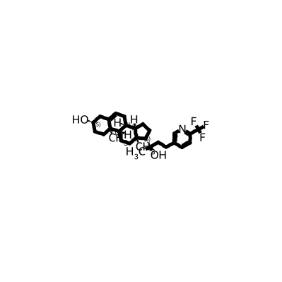 CC(O)(CCc1ccc(C(F)(F)F)nc1)[C@H]1CC[C@H]2[C@@H]3CC=C4C[C@@H](O)CC[C@]4(C)[C@H]3CC[C@]12C